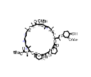 CO[C@@H]1C[C@H](C[C@@H](C)[C@@H]2CC[C@H](C)/C=C(\C)[C@@H](O)[C@@H](OC)C(=O)[C@H](C)C[C@H](C)/C=C/C=C/C=C(\C)[C@H](N(C)C(=O)OC(C)(C)C)C[C@@H]3CC[C@@H](C)[C@@](O)(O3)C(=O)C(=O)N3CCCC[C@H]3C(=O)O2)CC[C@H]1O